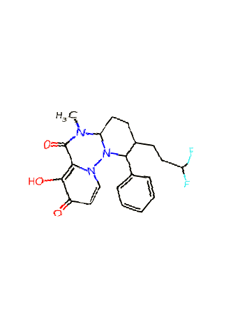 CN1C(=O)c2c(O)c(=O)ccn2N2C(c3ccccc3)C(CCC(F)F)CCC12